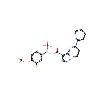 CC(C)(O)[C@@H](NC(=O)c1cnn2ccc(-c3ccccn3)nc12)c1ccc(OC(F)(F)F)c(F)c1